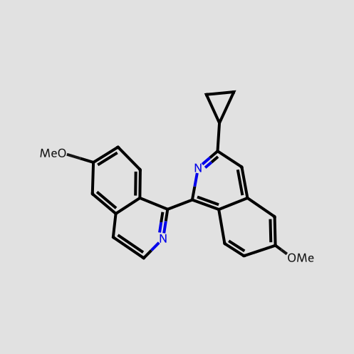 COc1ccc2c(-c3nc(C4CC4)cc4cc(OC)ccc34)nccc2c1